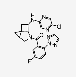 O=C(c1cc(F)ccc1-n1nccn1)N1CC2CC23CC(Nc2cnc(Cl)cn2)C13